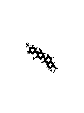 CCc1ccc2c(F)c(-c3cc(F)c(-c4ccc(OC)c(F)c4)c(F)c3)ccc2c1